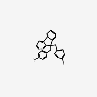 Ic1ccc(CC2(Cc3ccc(I)cc3)c3ccccc3-c3ccccc32)cc1